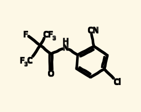 N#Cc1cc(Cl)ccc1NC(=O)C(F)(C(F)(F)F)C(F)(F)F